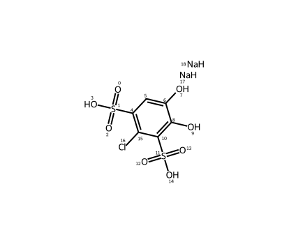 O=S(=O)(O)c1cc(O)c(O)c(S(=O)(=O)O)c1Cl.[NaH].[NaH]